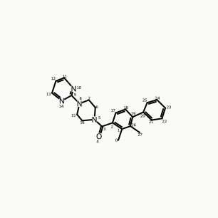 Cc1c(C(=O)N2CCN(c3ncccn3)CC2)ccc(-c2ccccc2)c1C